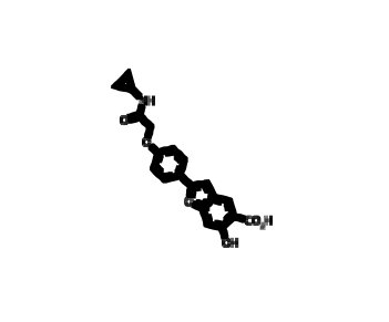 O=C(COc1ccc(-c2cc3cc(C(=O)O)c(O)cc3o2)cc1)NC1CC1